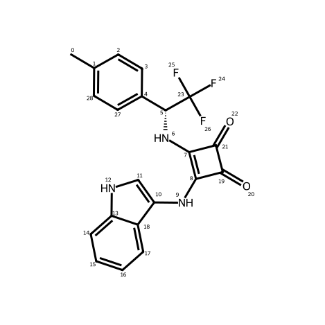 Cc1ccc([C@@H](Nc2c(Nc3c[nH]c4ccccc34)c(=O)c2=O)C(F)(F)F)cc1